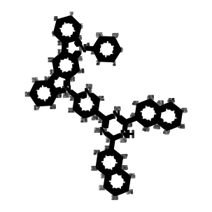 c1ccc(-n2c3ccccc3c3cc4c5ccccc5n(-c5ccc(C6=NC(c7ccc8ccccc8c7)NC(c7ccc8ccccc8c7)=N6)cn5)c4cc32)cc1